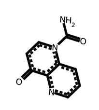 NC(=O)n1ccc(=O)c2ncccc21